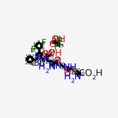 CC(C)(C)[C@H](c1cc(-c2cc(F)ccc2F)cn1Cc1ccccc1)N(CC[C@H](N)C(=O)NCCNC(=O)CSC[C@H](N)C(=O)O)C(=O)CO.O=C(O)C(F)(F)F